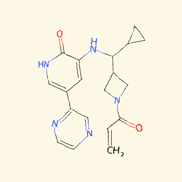 C=CC(=O)N1CC(C(Nc2cc(-c3cnccn3)c[nH]c2=O)C2CC2)C1